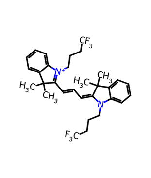 CC1(C)C(=CC=CC2=[N+](CCCC(F)(F)F)c3ccccc3C2(C)C)N(CCCC(F)(F)F)c2ccccc21